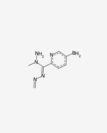 Bc1ccc(/C(=N/N=C)N(C)N)nc1